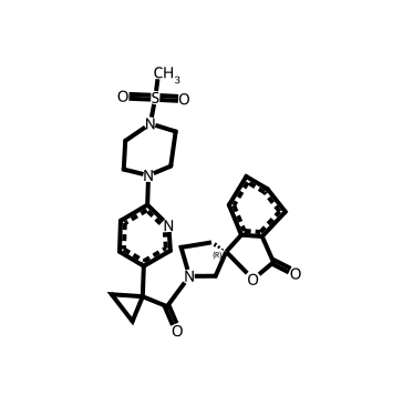 CS(=O)(=O)N1CCN(c2ccc(C3(C(=O)N4CC[C@@]5(C4)OC(=O)c4ccccc45)CC3)cn2)CC1